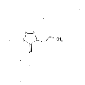 CCCN1N=N[N]C1=O